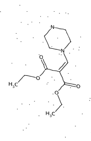 CCOC(=O)C(=CN1CC[N]CC1)C(=O)OCC